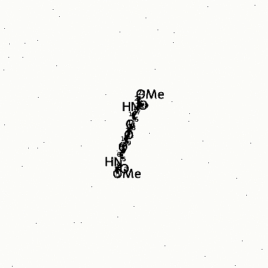 COCC(=O)NCCCOCCOCCOCCCNC(=O)COC